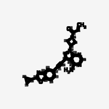 C=CC(=O)N1CC(n2cc(C#Cc3ccc4oc(C5CC5)nc4c3)c3c(N)ncnc32)C1